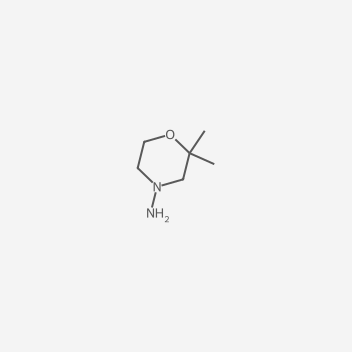 CC1(C)CN(N)CCO1